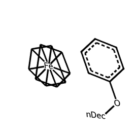 CCCCCCCCCCOc1ccccc1.[CH]12[CH]3[CH]4[CH]5[CH]1[Fe]23451678[CH]2[CH]1[CH]6[CH]7[CH]28